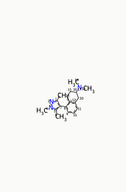 Cc1nn(C)c(C)c1-c1cccc2c1CCC(N(C)C)C2